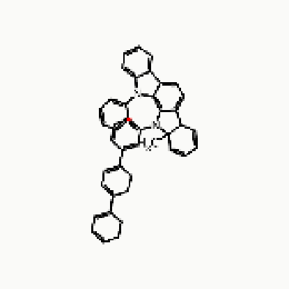 CC12C=CC=CC1c1ccc3c4ccccc4n(-c4ccccc4)c3c1N2c1cccc(C2=CC=C(C3=CC=CCC3)CC2)c1